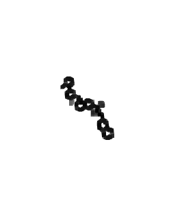 Cc1ccccc1-c1ccc(F)c(CN2CCCc3cc(C(=O)NCc4ccc5ccccc5c4)ccc32)c1